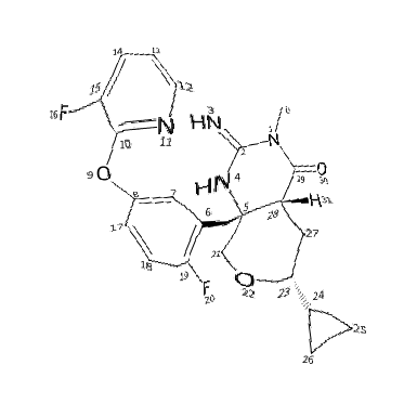 CN1C(=N)N[C@@]2(c3cc(Oc4ncccc4F)ccc3F)CO[C@@H](C3CC3)C[C@H]2C1=O